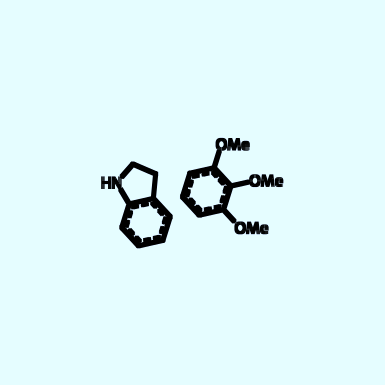 COc1cccc(OC)c1OC.c1ccc2c(c1)CCN2